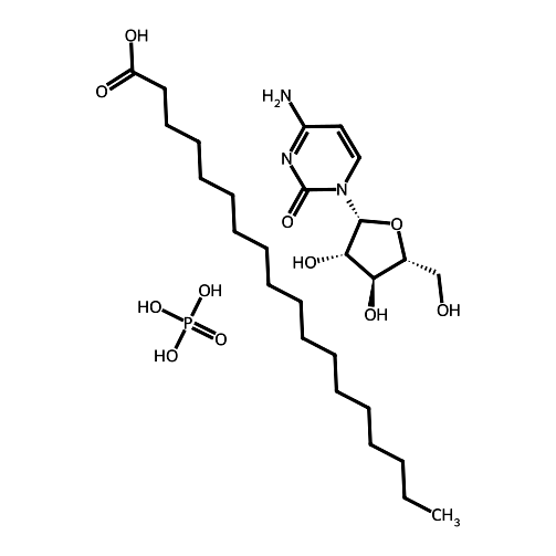 CCCCCCCCCCCCCCCCCC(=O)O.Nc1ccn([C@@H]2O[C@H](CO)[C@@H](O)[C@@H]2O)c(=O)n1.O=P(O)(O)O